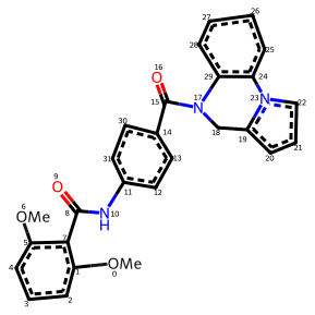 COc1cccc(OC)c1C(=O)Nc1ccc(C(=O)N2Cc3cccn3-c3ccccc32)cc1